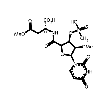 COC(=O)C[C@@H](NC(=O)C1OC(n2ccc(=O)[nH]c2=O)C(OC)C1OP(C)(O)=S)C(=O)O